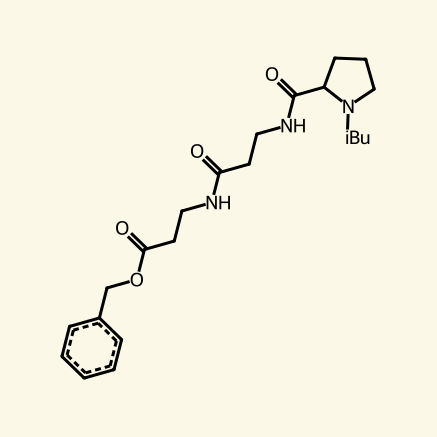 CCC(C)N1CCCC1C(=O)NCCC(=O)NCCC(=O)OCc1ccccc1